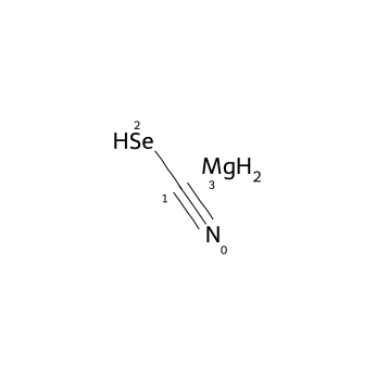 N#C[SeH].[MgH2]